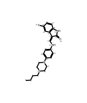 CCCCN1CCN(c2ccc(NC=C3C(=O)Nc4ccc(F)cc43)cc2)CC1